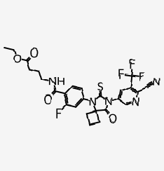 CCOC(=O)CCCNC(=O)c1ccc(N2C(=S)N(c3cnc(C#N)c(C(F)(F)F)c3)C(=O)C23CCC3)cc1F